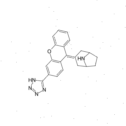 c1ccc2c(c1)Oc1cc(-c3nnn[nH]3)ccc1C2=C1CC2CCC(C1)N2